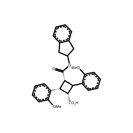 COc1ccccc1C1[C@@H](C(=O)OC2Cc3ccccc3C2)[C@@H](c2ccccc2OC)[C@H]1C(=O)O